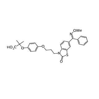 CON=C(c1ccccc1)c1ccc2c(c1)sc(=O)n2CCCOc1ccc(OC(C)(C)C(=O)O)cc1